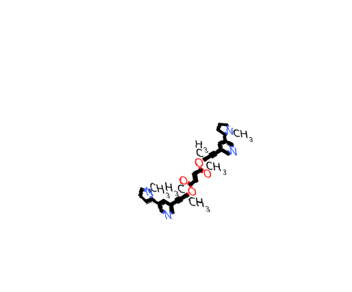 CN1CCCC1c1cncc(C#CC(C)(C)OC(=O)/C=C/C(=O)OC(C)(C)C#Cc2cncc(C3CCCN3C)c2)c1